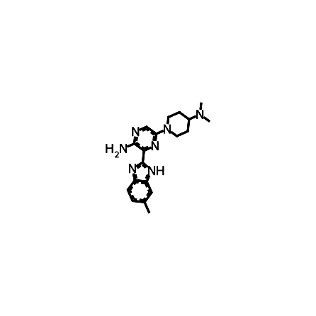 Cc1ccc2nc(-c3nc(N4CCC(N(C)C)CC4)cnc3N)[nH]c2c1